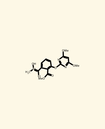 CCC(c1cccc(Oc2nc(OC)cc(OC)n2)c1C(=O)OC)=[N+](C)O